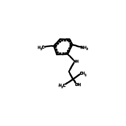 Cc1ccc(N)c(NCC(C)(C)O)c1